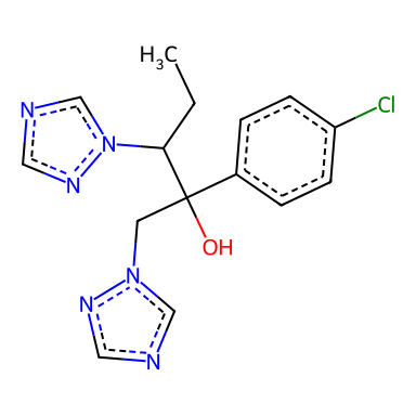 CCC(n1cncn1)C(O)(Cn1cncn1)c1ccc(Cl)cc1